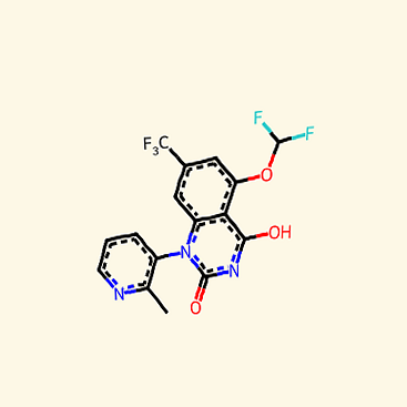 Cc1ncccc1-n1c(=O)nc(O)c2c(OC(F)F)cc(C(F)(F)F)cc21